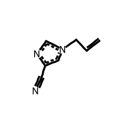 C=CCn1cnc(C#N)c1